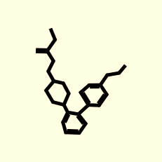 C=C(CC)CCC1CCC(c2ccccc2-c2ccc(CCC)cc2)CC1